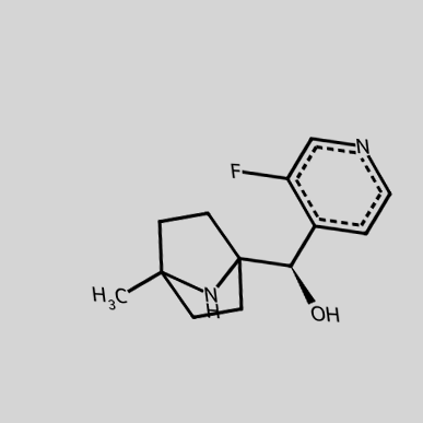 CC12CCC([C@H](O)c3ccncc3F)(CC1)N2